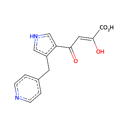 O=C(O)/C(O)=C/C(=O)c1c[nH]cc1Cc1ccncc1